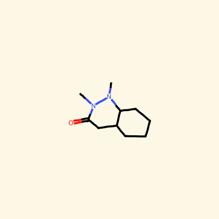 CN1C(=O)CC2CCCCC2N1C